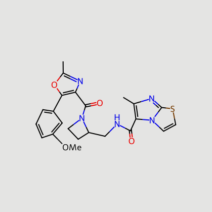 COc1cccc(-c2oc(C)nc2C(=O)N2CCC2CNC(=O)c2c(C)nc3sccn23)c1